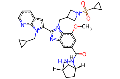 COc1cc(C(=O)N2C[C@H]3CC[C@@H]2[C@@H]3N)cc2nc(-c3cc4cccnc4n3CC3CC3)n(CC3CN(S(=O)(=O)C4CC4)C3)c12